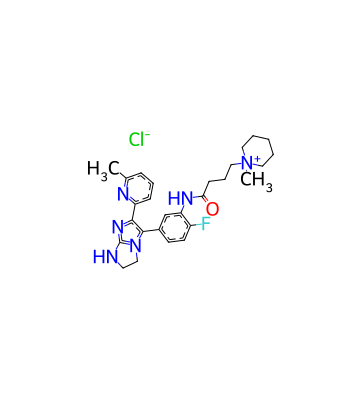 Cc1cccc(-c2nc3n(c2-c2ccc(F)c(NC(=O)CCC[N+]4(C)CCCCC4)c2)CCN3)n1.[Cl-]